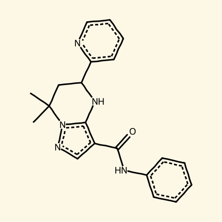 CC1(C)CC(c2ccccn2)Nc2c(C(=O)Nc3ccccc3)cnn21